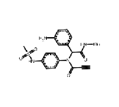 C#CC(=O)N(c1ccc(NS(C)(=O)=O)cc1)C(C(=O)NC(C)(C)C)c1cccc(N)c1